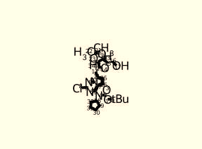 CC(C)(C)OC(=O)N(c1nc(Cl)nn2c(C[C@H]3O[C@H](CO)[C@H]4OC(C)(C)O[C@H]43)ccc12)C1CCCC1